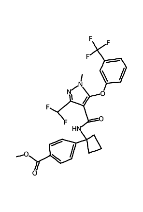 COC(=O)c1ccc(C2(NC(=O)c3c(C(F)F)nn(C)c3Oc3cccc(C(F)(F)F)c3)CCC2)cc1